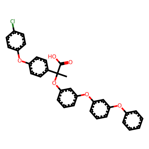 CC(Oc1cccc(Oc2cccc(Oc3ccccc3)c2)c1)(C(=O)O)c1ccc(Oc2ccc(Cl)cc2)cc1